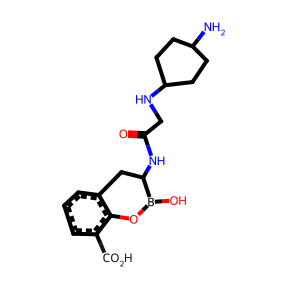 NC1CCC(NCC(=O)NC2Cc3cccc(C(=O)O)c3OB2O)CC1